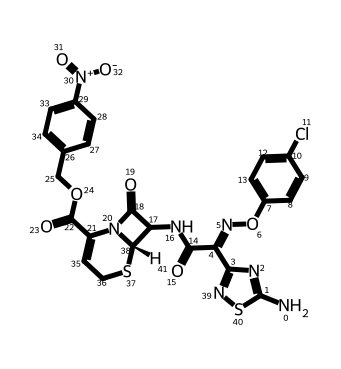 Nc1nc(C(=NOc2ccc(Cl)cc2)C(=O)NC2C(=O)N3C(C(=O)OCc4ccc([N+](=O)[O-])cc4)=CCS[C@@H]23)ns1